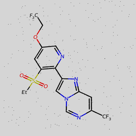 CCS(=O)(=O)c1cc(OCC(F)(F)F)cnc1-c1cn2cnc(C(F)(F)F)cc2n1